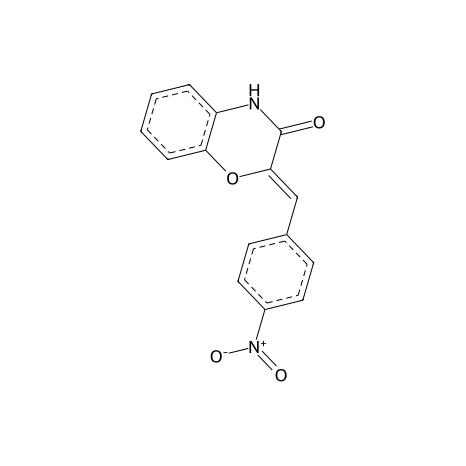 O=C1Nc2ccccc2OC1=Cc1ccc([N+](=O)[O-])cc1